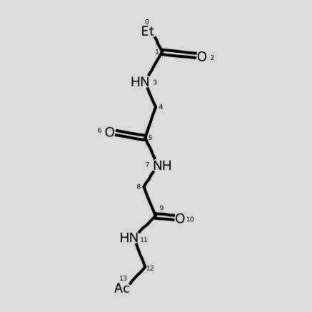 CCC(=O)NCC(=O)NCC(=O)NCC(C)=O